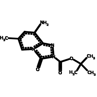 Cc1cc(N)c2nn(C(=O)OC(C)(C)C)c(=O)n2c1